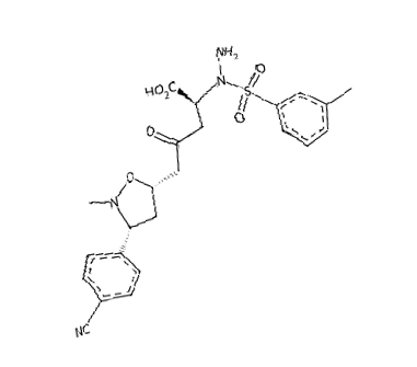 Cc1cccc(S(=O)(=O)N(N)[C@@H](CC(=O)C[C@@H]2C[C@H](c3ccc(C#N)cc3)N(C)O2)C(=O)O)c1